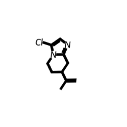 C=C(C)C1CCn2c(Cl)cnc2C1